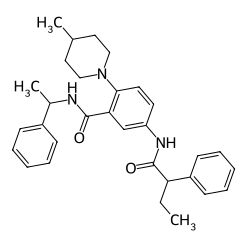 CCC(C(=O)Nc1ccc(N2CCC(C)CC2)c(C(=O)NC(C)c2ccccc2)c1)c1ccccc1